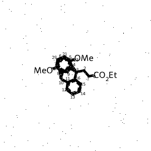 CCOC(=O)CCC12c3cccc(c3)C(c3ccccc31)c1c(OC)ccc(OC)c12